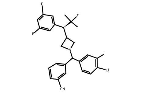 CC(C)(F)[C@H](c1cc(F)cc(F)c1)C1CN(C(c2cccc(C#N)c2)c2ccc(Cl)c(I)c2)C1